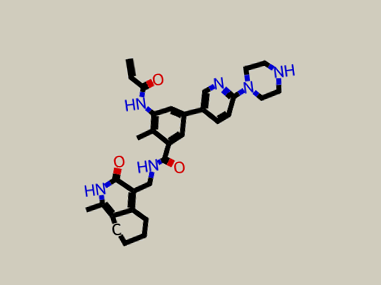 C=CC(=O)Nc1cc(-c2ccc(N3CCNCC3)nc2)cc(C(=O)NCc2c3c(c(C)[nH]c2=O)CCCC3)c1C